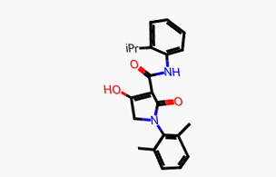 Cc1cccc(C)c1N1CC(O)=C(C(=O)Nc2ccccc2C(C)C)C1=O